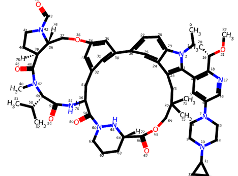 CCn1c(-c2cc(N3CCN(C4CC4)CC3)cnc2[C@H](C)OC)c2c3cc(ccc31)-c1cc3cc(c1)OC[C@@H]1[C@H](CCN1C=O)C(=O)N(C)[C@@H](C(C)C)C(=O)N[C@@H](C3)C(=O)N1CCC[C@H](N1)C(=O)OCC(C)(C)C2